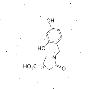 O=C(O)[C@H]1CC(=O)N(Cc2ccc(O)cc2O)C1